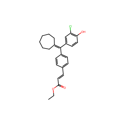 CCOC(=O)C=Cc1ccc(C(=C2CCCCCC2)c2ccc(O)c(Cl)c2)cc1